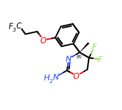 C[C@]1(c2cccc(OCCC(F)(F)F)c2)N=C(N)OCC1(F)F